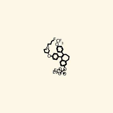 CCOP(=O)(OCC)Oc1ccc2c(c1)CCCC(c1ccc(OC(F)(F)F)cc1)=C2c1ccc(O[C@H]2CCN(CCCF)C2)cc1